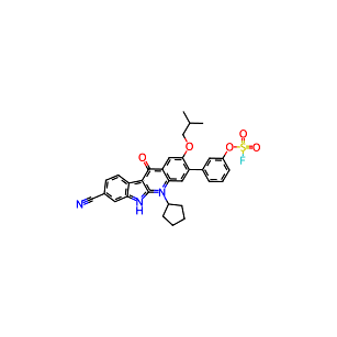 CC(C)COc1cc2c(=O)c3c4ccc(C#N)cc4[nH]c3n(C3CCCC3)c2cc1-c1cccc(OS(=O)(=O)F)c1